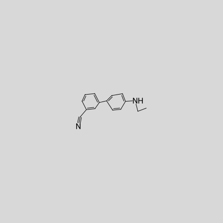 CCNc1ccc(-c2cccc(C#N)c2)cc1